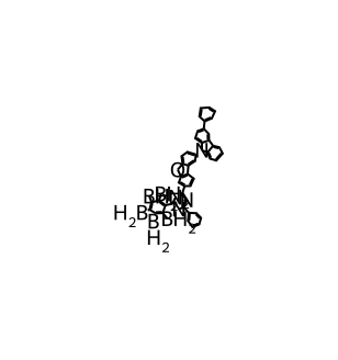 Bc1c(B)c(B)c(-c2nc(-c3ccccc3)nc(-c3ccc4c(c3)oc3ccc(-n5c6ccccc6c6cc(-c7ccccc7)ccc65)cc34)n2)c(B)c1B